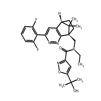 CCN(C[C@@]12CC[C@@H](c3cc(-c4c(F)cccc4F)nnc31)C2(C)C)C(=O)c1cc(C(C)(C)O)on1